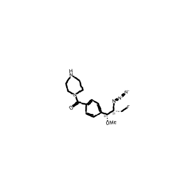 CO[C@H](c1ccc(C(=O)N2CCNCC2)cc1)[C@@H](CF)N=[N+]=[N-]